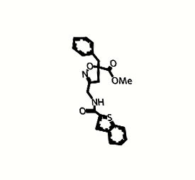 COC(=O)C1(Cc2ccccc2)CC(CNC(=O)c2cc3ccccc3s2)=NO1